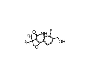 [2H]C1([2H])COc2c1c(=O)[nH]c1c(F)c(CO)ccc21